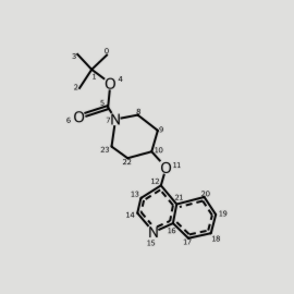 CC(C)(C)OC(=O)N1CCC(Oc2ccnc3ccccc23)CC1